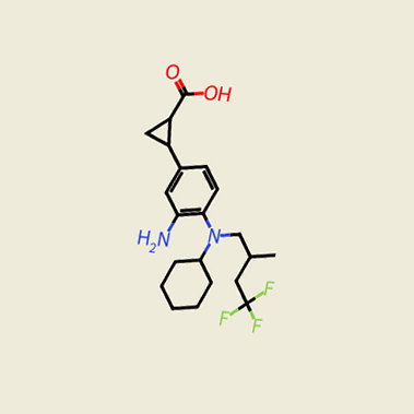 CC(CN(c1ccc(C2CC2C(=O)O)cc1N)C1CCCCC1)CC(F)(F)F